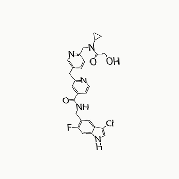 O=C(NCc1cc2c(Cl)c[nH]c2cc1F)c1ccnc(Cc2ccc(CN(C(=O)CO)C3CC3)nc2)c1